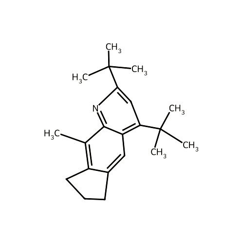 Cc1c2c(cc3c(C(C)(C)C)cc(C(C)(C)C)nc13)CCC2